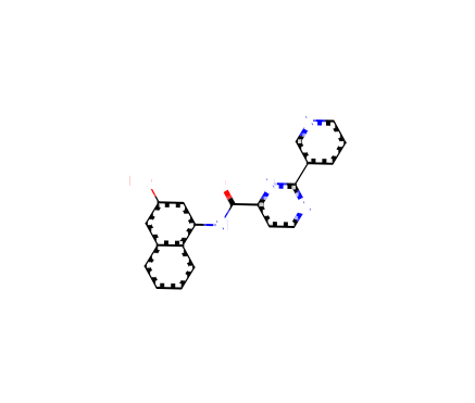 O=C(Nc1cc(O)cc2ccccc12)c1ccnc(-c2cccnc2)n1